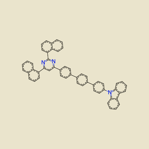 c1ccc2c(-c3cc(-c4ccc(-c5ccc(-c6ccc(-n7c8ccccc8c8ccccc87)cc6)cc5)cc4)nc(-c4cccc5ccccc45)n3)cccc2c1